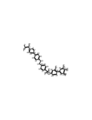 C/C(F)=C(\F)c1ccc(-c2ccc(CCc3ccc(C(F)(F)Oc4ccc(-c5cc(F)c(F)c(F)c5)c(F)c4)cc3)cc2)cc1